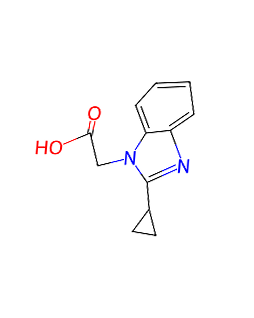 O=C(O)Cn1c(C2CC2)nc2ccccc21